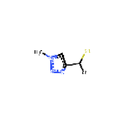 [CH2]CC(S)c1cn(C)nn1